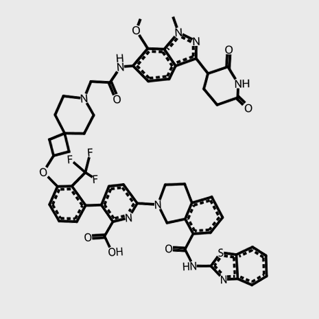 COc1c(NC(=O)CN2CCC3(CC2)CC(Oc2cccc(-c4ccc(N5CCc6cccc(C(=O)Nc7nc8ccccc8s7)c6C5)nc4C(=O)O)c2C(F)(F)F)C3)ccc2c(C3CCC(=O)NC3=O)nn(C)c12